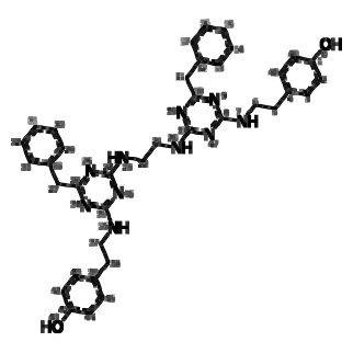 Oc1ccc(CCNc2nc(Cc3ccccc3)nc(NCCNc3nc(Cc4ccccc4)nc(NCCc4ccc(O)cc4)n3)n2)cc1